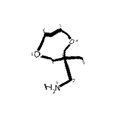 CC1(CN)COCCO1